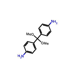 COC(OC)(c1ccc(N)cc1)c1ccc(N)cc1